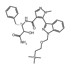 Cn1ncc(C(=O)N[C@@H](Cc2ccccc2)C(O)C(N)=O)c1-c1nn(COCC[Si](C)(C)C)c2ccccc12